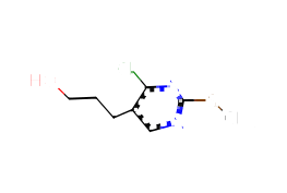 CSc1ncc(CCCO)c(Cl)n1